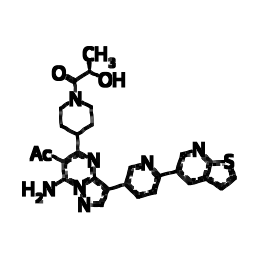 CC(=O)c1c(C2CCN(C(=O)[C@@H](C)O)CC2)nc2c(-c3ccc(-c4cnc5sccc5c4)nc3)cnn2c1N